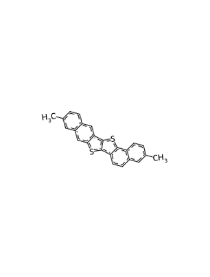 Cc1ccc2cc3c(cc2c1)sc1c2ccc4cc(C)ccc4c2sc31